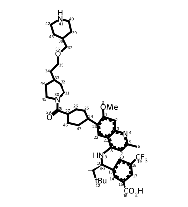 COc1cc2nc(C)cc(N[C@H](CC(C)(C)C)c3cc(C(=O)O)cc(C(F)(F)F)c3)c2cc1C1CCC(C(=O)N2CCC(CCOCC3CCNCC3)CC2)CC1